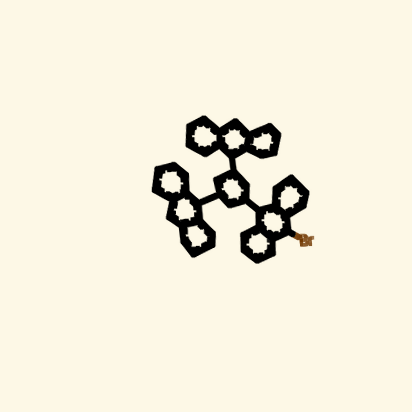 Brc1c2ccccc2c(-c2cc(-c3c4ccccc4cc4ccccc34)cc(-c3c4ccccc4cc4ccccc34)c2)c2ccccc12